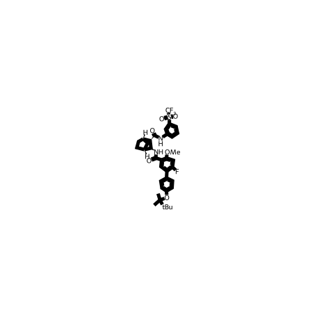 COc1cc(F)c(-c2ccc(OC(C)(C)C(C)(C)C)cc2)cc1C(=O)N[C@@H]1[C@H]2CC[C@H](C2)[C@@H]1C(=O)Nc1cccc(S(=O)(=O)C(F)(F)F)c1